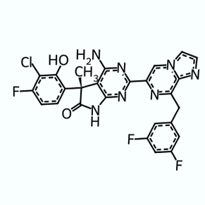 C[C@]1(c2ccc(F)c(Cl)c2O)C(=O)Nc2nc(-c3cn4ccnc4c(Cc4cc(F)cc(F)c4)n3)nc(N)c21